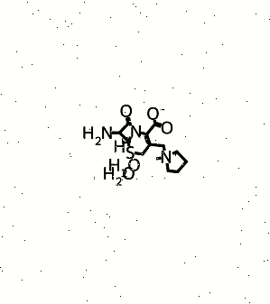 C[N+]1(CC2=C(C(=O)[O-])N3C(=O)C(N)[C@@H]3SC2)CCCC1.O.O